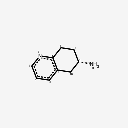 N[C@H]1CCc2ncccc2C1